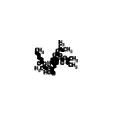 CCCCCC(=O)OC(C)CN[C@@H](Cc1ccc(OC(=O)OC(C)CC)c(OC(=O)OC(C)CC)c1)C(=O)O